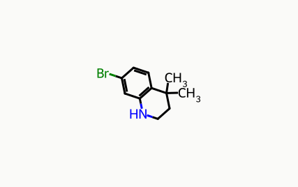 CC1(C)CCNc2cc(Br)ccc21